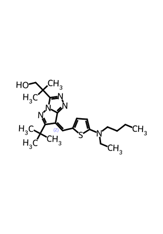 CCCCN(CC)c1ccc(/C=c2/c(C(C)(C)C)nn3c(C(C)(C)CO)nnc23)s1